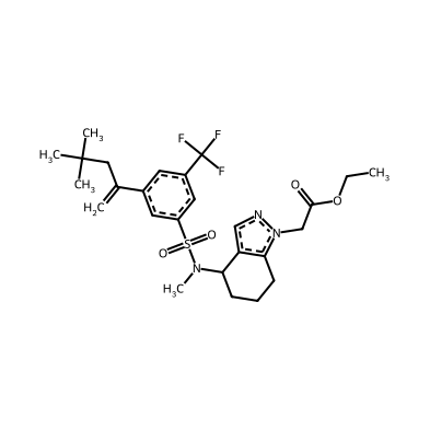 C=C(CC(C)(C)C)c1cc(C(F)(F)F)cc(S(=O)(=O)N(C)C2CCCc3c2cnn3CC(=O)OCC)c1